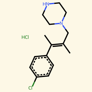 CC(CN1CCNCC1)=C(C)c1ccc(Cl)cc1.Cl